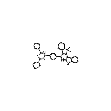 CC1(C)c2ccccc2-c2c(-c3ccc(-c4nc(-c5ccccc5)nc(-c5ccccc5)n4)cc3)nc3sc4ccccc4c3c21